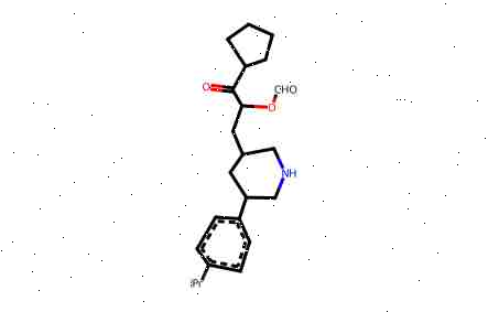 CC(C)c1ccc(C2CNCC(CC(OC=O)C(=O)C3CCCC3)C2)cc1